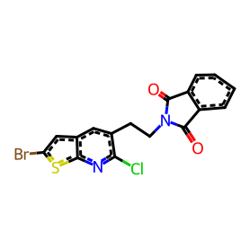 O=C1c2ccccc2C(=O)N1CCc1cc2cc(Br)sc2nc1Cl